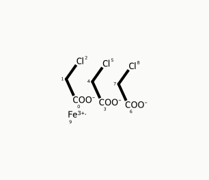 O=C([O-])CCl.O=C([O-])CCl.O=C([O-])CCl.[Fe+3]